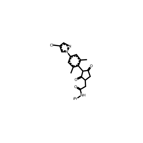 Cc1cc(-n2cc(Cl)cn2)cc(C)c1C1C(=O)CC(CC(=O)NC(C)C)C1=O